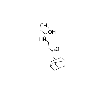 C=CC(O)NCCC(=O)CC12CC3CC(CC(C3)C1)C2